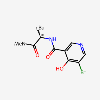 CCCC[C@@H](NC(=O)c1cncc(Br)c1O)C(=O)NC